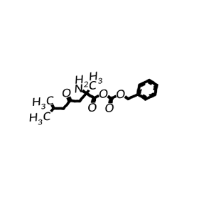 CC(C)CC(=O)CC(C)(N)C(=O)OC(=O)OCc1ccccc1